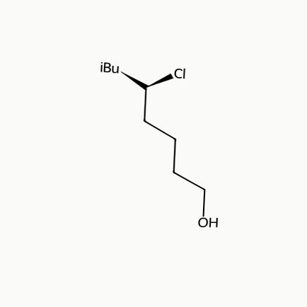 CC[C@H](C)[C@@H](Cl)CCCCO